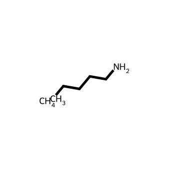 C.CCCCCN